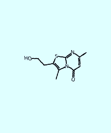 Cc1cc(=O)n2c(C)c(CCO)sc2n1